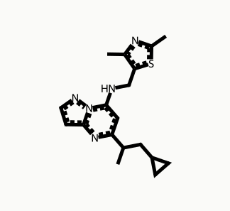 Cc1nc(C)c(CNc2cc(C(C)CC3CC3)nc3ccnn23)s1